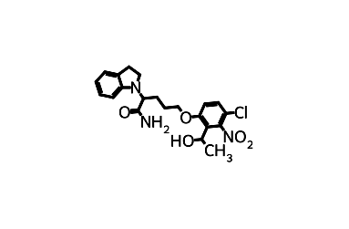 CC(O)c1c(OCCCC(C(N)=O)N2CCc3ccccc32)ccc(Cl)c1[N+](=O)[O-]